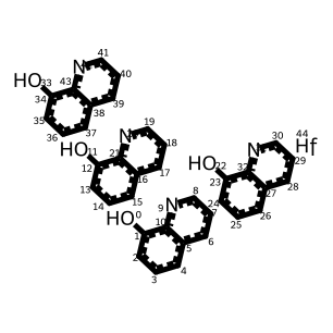 Oc1cccc2cccnc12.Oc1cccc2cccnc12.Oc1cccc2cccnc12.Oc1cccc2cccnc12.[Hf]